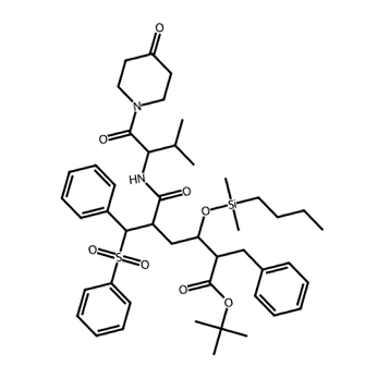 CCCC[Si](C)(C)OC(CC(C(=O)NC(C(=O)N1CCC(=O)CC1)C(C)C)C(c1ccccc1)S(=O)(=O)c1ccccc1)C(Cc1ccccc1)C(=O)OC(C)(C)C